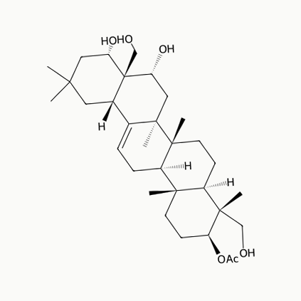 CC(=O)O[C@H]1CC[C@@]2(C)[C@@H](CC[C@]3(C)[C@@H]2CC=C2[C@@H]4CC(C)(C)C[C@H](O)[C@]4(CO)[C@H](O)C[C@]23C)[C@]1(C)CO